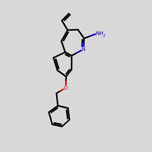 C=CC1=Cc2ccc(OCc3ccccc3)cc2N=C(N)C1